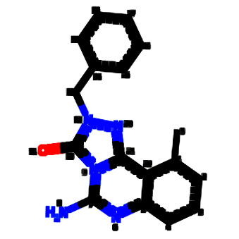 Cc1cccc2nc(N)n3c(=O)n(Cc4ccccc4)nc3c12